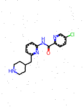 O=C(Nc1cccc(CC2CCNCC2)n1)c1ccc(Cl)cn1